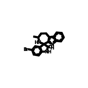 CC1CCc2c([nH]c3ccccc23)C2(N1)C(=O)Nc1ccc(Br)cc12